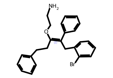 NCCO/C(CCc1ccccc1)=C(/Cc1ccccc1Br)c1ccccc1